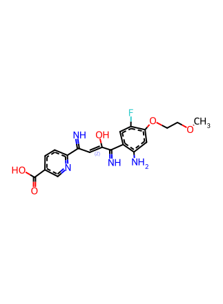 COCCOc1cc(N)c(C(=N)/C(O)=C/C(=N)c2ccc(C(=O)O)cn2)cc1F